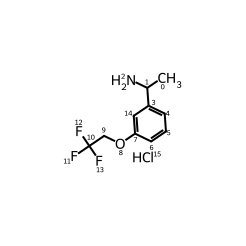 CC(N)c1cccc(OCC(F)(F)F)c1.Cl